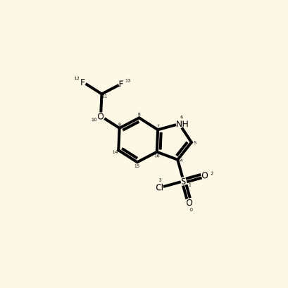 O=S(=O)(Cl)c1c[nH]c2cc(OC(F)F)ccc12